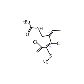 C=C(Cl)/C(SC#N)=C(Cl)\C(=C/C)CNC(=O)C(C)(C)C